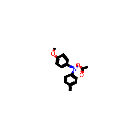 COc1ccc(N(OC(C)=O)c2ccc(C)cc2)cc1